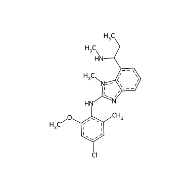 CCC(NC)c1cccc2nc(Nc3c(C)cc(Cl)cc3OC)n(C)c12